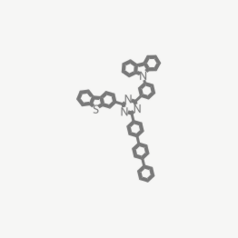 c1ccc(-c2ccc(-c3ccc(-c4nc(-c5cccc(-n6c7ccccc7c7ccccc76)c5)nc(-c5ccc6c(c5)sc5ccccc56)n4)cc3)cc2)cc1